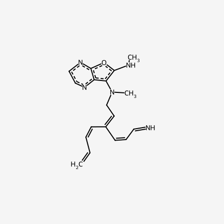 C=C\C=C/C(/C=C\C=N)=C\CN(C)c1c(NC)oc2nccnc12